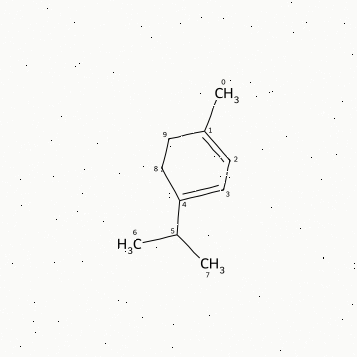 CC1=CC=C(C(C)C)[CH]C1